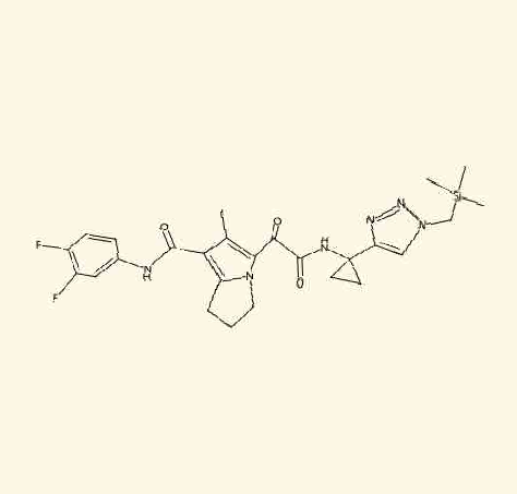 Cc1c(C(=O)Nc2ccc(F)c(F)c2)c2n(c1C(=O)C(=O)NC1(c3cn(C[Si](C)(C)C)nn3)CC1)CCC2